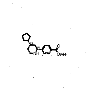 COC(=O)c1ccc([C@@H]2C[C@H](C3CCCC3)CCN2)cc1